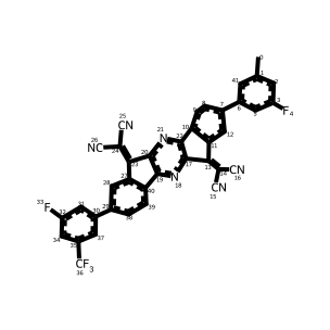 Cc1cc(F)cc(-c2ccc3c(c2)C(=C(C#N)C#N)c2nc4c(nc2-3)C(=C(C#N)C#N)c2cc(-c3cc(F)cc(C(F)(F)F)c3)ccc2-4)c1